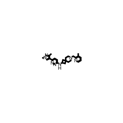 Cc1cccnc1CN1CCC2(CC1)CC(Nc1ccc(-c3cn(C)nc3C)nn1)C2